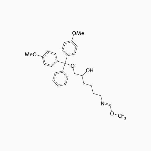 COc1ccc(C(OCC(O)CCCCN=COC(F)(F)F)(c2ccccc2)c2ccc(OC)cc2)cc1